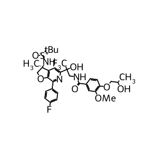 COc1cc(C(=O)NCC(O)(c2cc3c(c(-c4ccc(F)cc4)n2)OC[C@@]3(C)N[S+]([O-])C(C)(C)C)C(F)(F)F)ccc1OC[C@@H](C)O